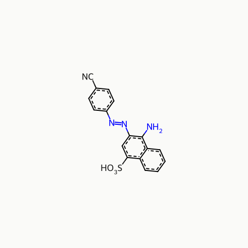 N#Cc1ccc(/N=N/c2cc(S(=O)(=O)O)c3ccccc3c2N)cc1